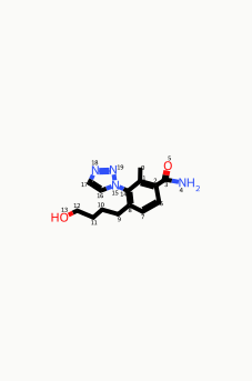 Cc1c(C(N)=O)ccc(CCCCO)c1-n1ccnn1